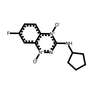 [O-][n+]1nc(NC2CCCC2)[n+]([O-])c2ccc(F)cc21